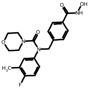 Cc1cc(N(Cc2ccc(C(=O)NO)cc2)C(=O)N2CCOCC2)ccc1F